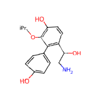 CC(C)Oc1c(O)ccc(C(O)CN)c1-c1ccc(O)cc1